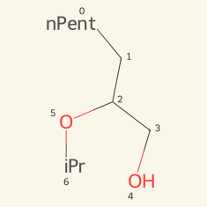 CCCCCCC(CO)OC(C)C